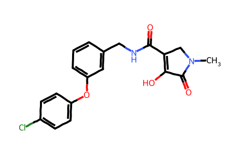 CN1CC(C(=O)NCc2cccc(Oc3ccc(Cl)cc3)c2)=C(O)C1=O